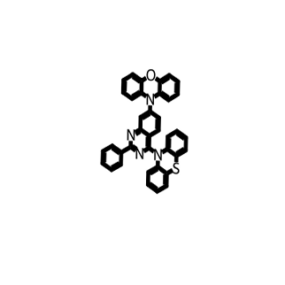 c1ccc(-c2nc(N3c4ccccc4Sc4ccccc43)c3ccc(N4c5ccccc5Oc5ccccc54)cc3n2)cc1